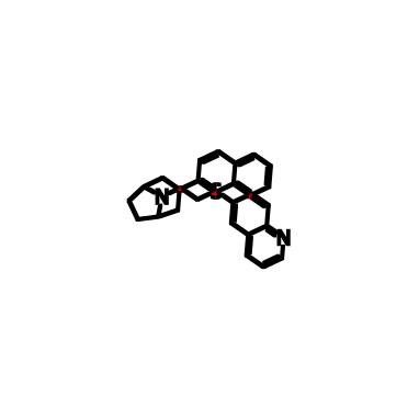 c1ccc2cc(C3CC4CCC(C3)N4CCSc3ccc4ncccc4c3)ccc2c1